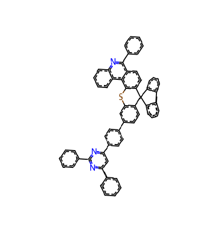 c1ccc(-c2cc(-c3ccc(-c4ccc5c(c4)Sc4c(ccc6c(-c7ccccc7)nc7ccccc7c46)C54c5ccccc5-c5ccccc54)cc3)nc(-c3ccccc3)n2)cc1